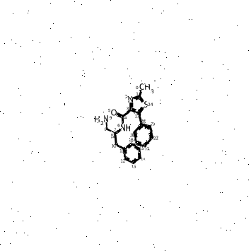 Cc1nc(C(=O)N[C@H](CN)Cc2ccccc2)c(-c2ccccc2)s1